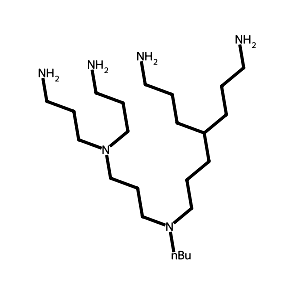 CCCCN(CCCC(CCCN)CCCN)CCCN(CCCN)CCCN